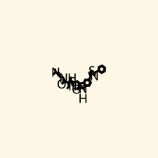 Cc1[nH]c(/C=C2\C(=O)Nc3ccc(-c4csc(-c5ccccc5)n4)cc32)c(C)c1C(=O)NCCN(C)C